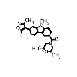 Cc1noc(C)c1-c1ccc2c3cc(C(=O)N4C[C@@H](C)O[C@@H](C)C4)ccc3n(C)c2c1